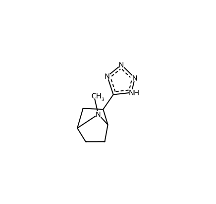 CN1C2CCC1C(c1nnn[nH]1)C2